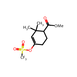 COC(=O)C1CCC(OS(=O)(=O)C(F)(F)F)=CC1(C)C